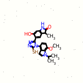 COc1ccc(-n2c(S)nnc2-c2cc3c(cc2O)NC(=O)C3C)c2ccn(C(C)C)c12